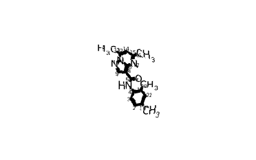 Cc1ccc(NC(=O)c2cnn3c(C)cc(C)nc23)c(C)c1